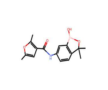 Cc1cc(C(=O)Nc2ccc3c(c2)B(O)OC3(C)C)c(C)o1